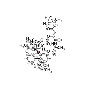 CC(NC(=O)C(CC(=O)OC(C)(C)C)OC(=O)OC(C)(C)C)C(=O)OC1=CC[C@@]2(O)[C@H]3Cc4ccc(O[Si](C)(C)C(C)(C)C)c5c4[C@@]2(CCN3C)[C@H]1O5